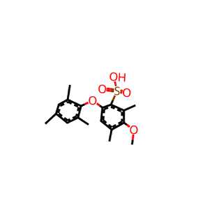 COc1c(C)cc(Oc2c(C)cc(C)cc2C)c(S(=O)(=O)O)c1C